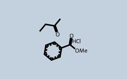 CCC(C)=O.COC(=O)c1ccccc1.Cl